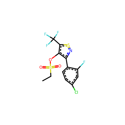 CCS(=O)(=O)Oc1c(-c2ccc(Cl)cc2F)nsc1C(F)(F)F